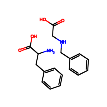 NC(Cc1ccccc1)C(=O)O.O=C(O)CNCc1ccccc1